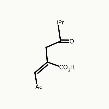 CC(=O)/C=C(/CC(=O)C(C)C)C(=O)O